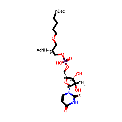 CCCCCCCCCCCCCCOC[C@H](COP(=O)(O)OC[C@H]1O[C@@H](n2ccc(=O)[nH]c2=S)C(C)(O)[C@H]1O)NC(C)=O